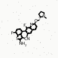 Cc1cc2ccc(OC[C@@H]3CCCN3C)nc2c(F)c1-c1ccc(F)c2sc(N)c(C#N)c12